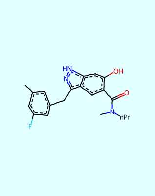 CCCN(C)C(=O)c1cc2c(Cc3cc(C)cc(F)c3)n[nH]c2cc1O